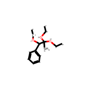 CCOC(c1ccccc1)C([SiH3])(OCC)OCC